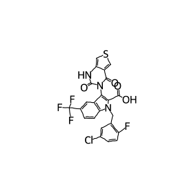 O=C(O)c1c(-n2c(=O)[nH]c3cscc3c2=O)c2cc(C(F)(F)F)ccc2n1Cc1cc(Cl)ccc1F